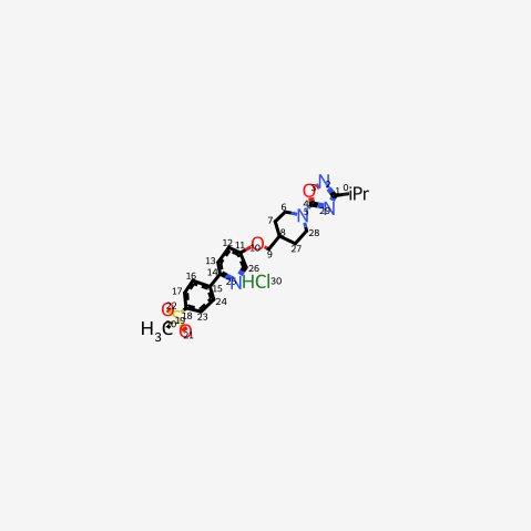 CC(C)c1noc(N2CCC(COc3ccc(-c4ccc(S(C)(=O)=O)cc4)nc3)CC2)n1.Cl